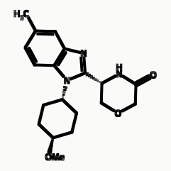 CO[C@H]1CC[C@H](n2c([C@H]3COCC(=O)N3)nc3cc(C)ccc32)CC1